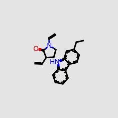 C=CC1CCN(C=C)C1=O.CCc1ccc2c(c1)[nH]c1ccccc12